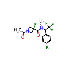 CC(=O)N1CC(F)(C(=O)N(C)C(c2ccc(Br)cc2)C(F)(F)F)C1